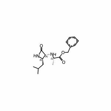 CC(C)C[C@H]1NC(=O)[C@@H]1N[C@@H](C)C(=O)OCc1ccccc1